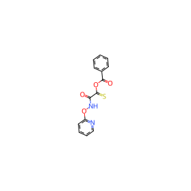 O=C(NOc1ccccn1)C(=S)OC(=O)c1ccccc1